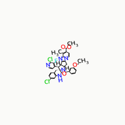 CCOc1cccc(CN2[C@H]3Cc4c(nc5c(C)c(C(=O)OC)ccn45)[C@H]3[C@H](c3ccnc(Cl)c3F)[C@@]23Cc2ccc(Cl)cc2NC3=O)c1